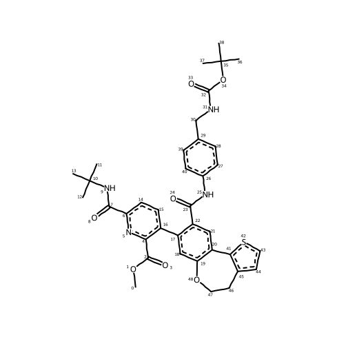 COC(=O)c1nc(C(=O)NC(C)(C)C)ccc1-c1cc2c(cc1C(=O)Nc1ccc(CNC(=O)OC(C)(C)C)cc1)-c1sccc1CCO2